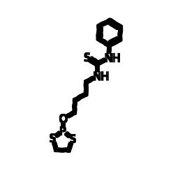 S=C(NCCCCOP1SCCS1)Nc1ccccc1